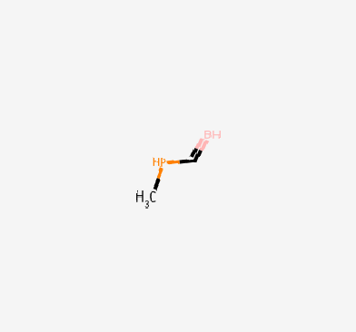 B=CPC